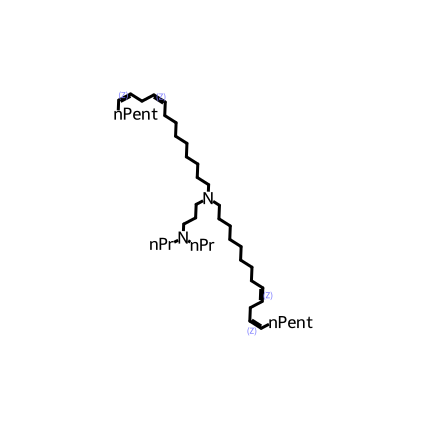 CCCCC/C=C\C/C=C\CCCCCCCCN(CCCCCCCC/C=C\C/C=C\CCCCC)CCCN(CCC)CCC